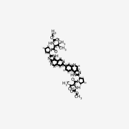 COC(=O)N[C@H](C(=O)N1CCC[C@H]1c1nc2cnc3cc(-c4cc5cnc6nc([C@@H]7CCCN7C(=O)[C@@H](NC(=O)OC)C(C)C)[nH]c6c5cn4)ccc3c2[nH]1)C(C)C